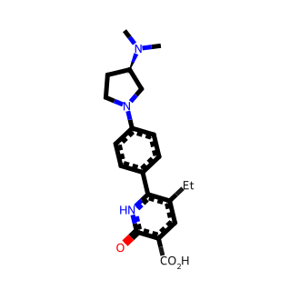 CCc1cc(C(=O)O)c(=O)[nH]c1-c1ccc(N2CC[C@@H](N(C)C)C2)cc1